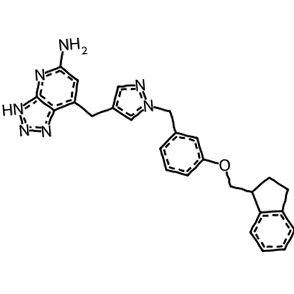 Nc1cc(Cc2cnn(Cc3cccc(OCC4CCc5ccccc54)c3)c2)c2nn[nH]c2n1